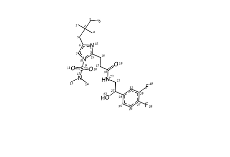 CCC(C)(C)Cc1cn(S(=O)(=O)N(C)C)c(CCC(=O)NCC(O)c2ccc(F)c(F)c2)n1